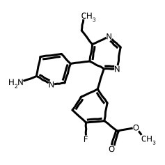 CCc1ncnc(-c2ccc(F)c(C(=O)OC)c2)c1-c1ccc(N)nc1